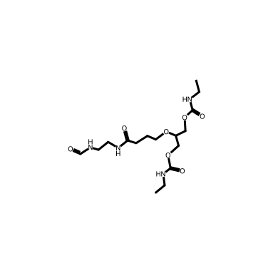 CCNC(=O)OCC(COC(=O)NCC)OCCCC(=O)NCCNC=O